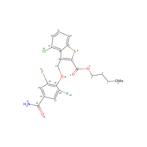 COCCCOC(=O)c1sc2cccc(Cl)c2c1COc1c(F)cc(C(N)=O)cc1F